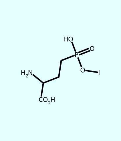 NC(CCP(=O)(O)OI)C(=O)O